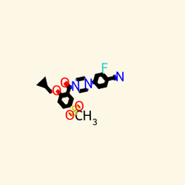 CS(=O)(=O)c1ccc(OCC2CC2)c(C(=O)N2CCN(c3ccc(C#N)c(F)c3)CC2)c1